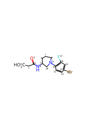 O=C(O)CC(=O)NC1CCCN(c2ccc(Br)cc2F)C1